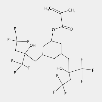 C=C(C)C(=O)OC1CC(CC(O)(CC(F)(F)F)C(F)(F)F)CC(CC(O)(CC(F)(F)F)C(F)(F)F)C1